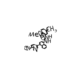 COc1ccc(C)cc1NC(=O)Nc1ccc(-c2ccc(CN3CCOCC3)nc2)c2ccccc12